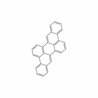 c1ccc2c(c1)cc1c3cccc4c5ccccc5cc(c5cccc2c51)c43